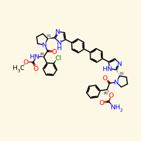 COC(=O)N[C@@H](C(=O)N1CCC[C@H]1c1ncc(-c2ccc(-c3ccc(-c4cnc([C@@H]5CCCN5C(=O)[C@H](OC(N)=O)c5ccccc5)[nH]4)cc3)cc2)[nH]1)c1ccccc1Cl